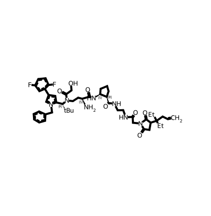 C=CCC(CC)(CC)C1CC(=O)N(CC(=O)NCCNC(=O)[C@@H]2CCC[C@@H]2NC(=O)[C@@H](N)CCN(C(=O)CO)[C@@H](c2cc(-c3cc(F)ccc3F)cn2Cc2ccccc2)C(C)(C)C)C1=O